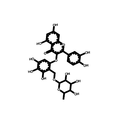 CC1OC(OCc2c(Oc3c(-c4ccc(O)c(O)c4)oc4cc(O)cc(O)c4c3=O)cc(O)c(O)c2O)C(O)C(O)C1O